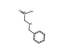 O=[PH](O)CNCc1ccccc1